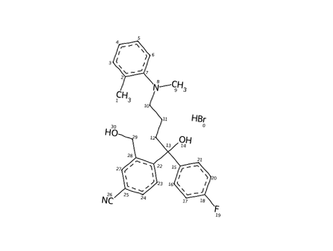 Br.Cc1ccccc1N(C)CCCC(O)(c1ccc(F)cc1)c1ccc(C#N)cc1CO